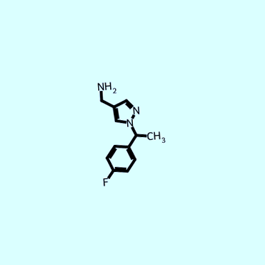 CC(c1ccc(F)cc1)n1cc(CN)cn1